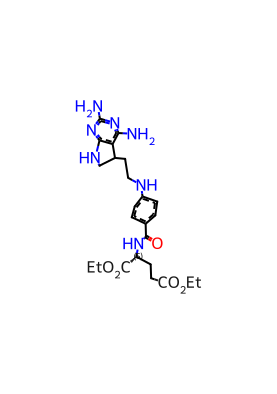 CCOC(=O)CC[C@H](NC(=O)c1ccc(NCCC2CNc3nc(N)nc(N)c32)cc1)C(=O)OCC